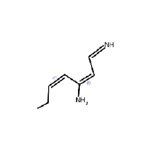 CC/C=C\C(N)=C/C=N